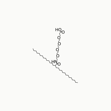 CCCCCCCCCCCCCCC(CCCCCCCCCCCCCC)C(=O)NCCOCCOCCOCCOCCC(=O)O